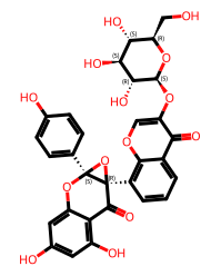 O=C1c2c(O)cc(O)cc2O[C@@]2(c3ccc(O)cc3)O[C@@]12c1cccc2c(=O)c(O[C@@H]3O[C@H](CO)[C@@H](O)[C@H](O)[C@H]3O)coc12